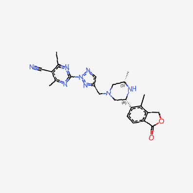 Cc1nc(-n2ncc(CN3C[C@@H](c4ccc5c(c4C)COC5=O)N[C@@H](C)C3)n2)nc(C)c1C#N